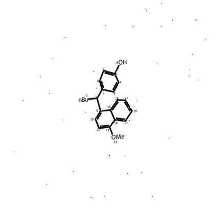 CCCCC(c1ccc(O)cc1)c1ccc(OC)c2ccccc12